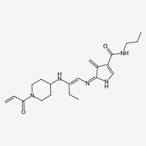 C=CC(=O)N1CCC(N/C(=C/N=C2/NC=C(C(=O)NCCC)C2=C)CC)CC1